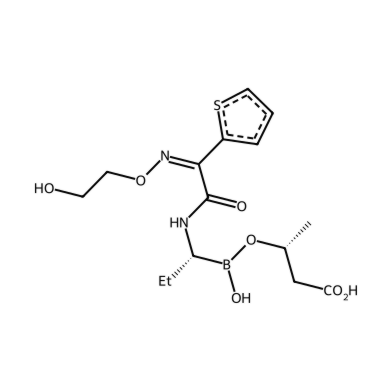 CC[C@H](NC(=O)/C(=N\OCCO)c1cccs1)B(O)O[C@H](C)CC(=O)O